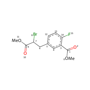 COC(=O)c1cc(CC(Br)C(=O)OC)ccc1F